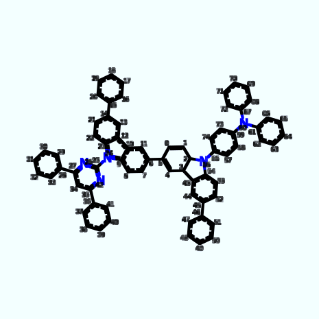 C1=CC2C(C=C1c1ccc3c(c1)c1cc(-c4ccccc4)ccc1n3-c1nc(-c3ccccc3)cc(-c3ccccc3)n1)c1cc(-c3ccccc3)ccc1N2c1ccc(N(c2ccccc2)c2ccccc2)cc1